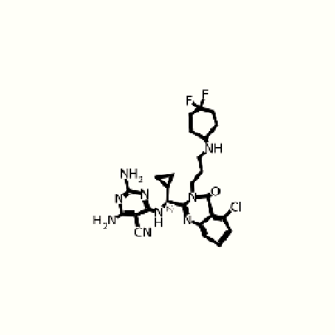 N#Cc1c(N)nc(N)nc1N[C@H](c1nc2cccc(Cl)c2c(=O)n1CCCNC1CCC(F)(F)CC1)C1CC1